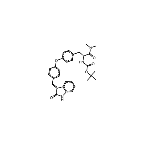 CN(C)C(=O)[C@H](Cc1ccc(Oc2ccc(/C=C3/C(=O)Nc4ccccc43)cc2)cc1)NC(=O)OC(C)(C)C